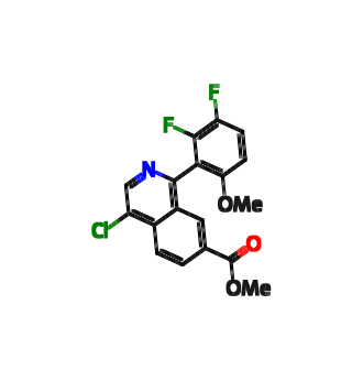 COC(=O)c1ccc2c(Cl)cnc(-c3c(OC)ccc(F)c3F)c2c1